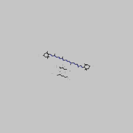 CC1=CC(O)CC(C)(C)C1/C=C/C(C)=C/C=C/C(C)=C/C=C/C=C(C)/C=C/C=C(C)/C=C/C1=C(C)CC(O)CC1(C)C.CSCC[C@H](N)C(=O)O.NCCCC[C@H](N)C(=O)O